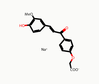 COc1cc(C=CC(=O)c2ccc(OCC(=O)[O-])cc2)ccc1O.[Na+]